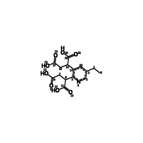 CCc1cnc(C(CC(=O)O)C(=O)O)c(C(CC(=O)O)C(=O)O)c1